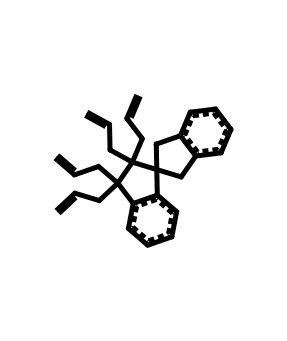 C=CCC1(CC=C)c2ccccc2C2(Cc3ccccc3C2)C1(CC=C)CC=C